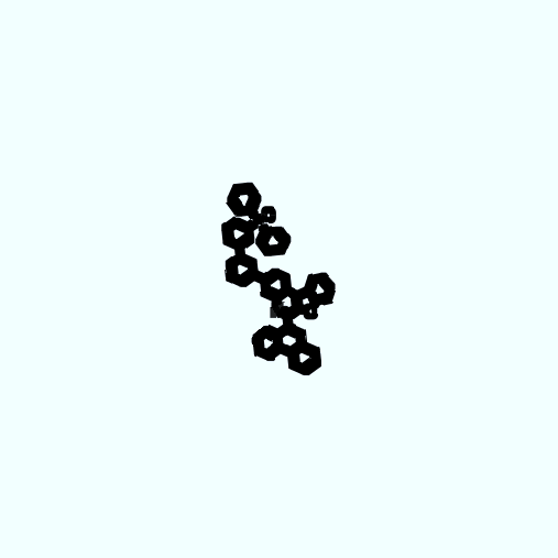 O=P(c1ccccc1)(c1ccccc1)c1cccc(-c2cccc(-c3ccc4c(c3)nc(-c3cc5ccccc5c5ccccc35)c3oc5ccccc5c34)c2)c1